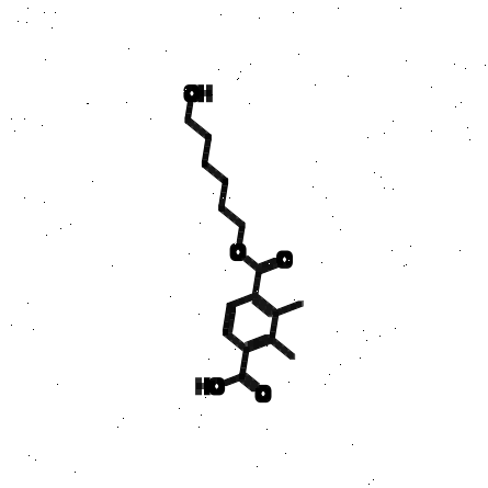 Cc1c(C(=O)O)ccc(C(=O)OCCCCCCO)c1C